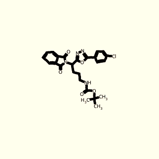 CC(C)(C)OC(=O)NCCCC(c1nnc(-c2ccc(Cl)cc2)o1)N1C(=O)c2ccccc2C1=O